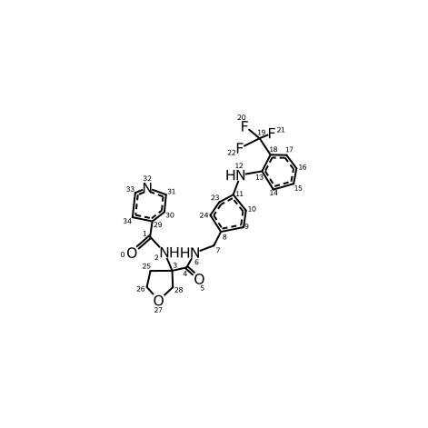 O=C(NC1(C(=O)NCc2ccc(Nc3ccccc3C(F)(F)F)cc2)CCOC1)c1ccncc1